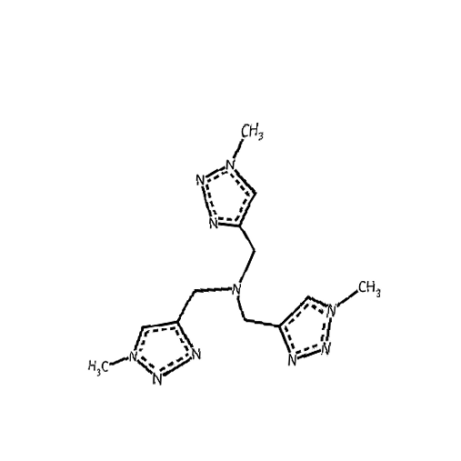 Cn1cc(CN(Cc2cn(C)nn2)Cc2cn(C)nn2)nn1